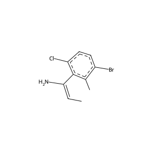 C/C=C(/N)c1c(Cl)ccc(Br)c1C